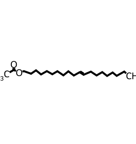 CCCCCCCC/C=C/CCCCCCCCCCOC(C)=O